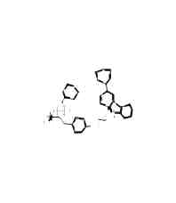 O=C(O)C(Cc1ccc(OCCn2c3ccccc3c3cc(-c4ccccc4)ccc32)cc1)OCc1ccccc1